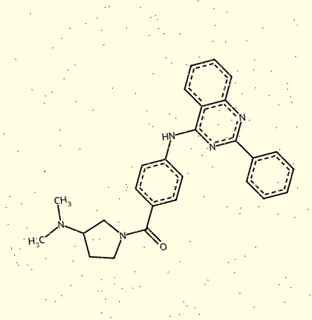 CN(C)C1CCN(C(=O)c2ccc(Nc3nc(-c4ccccc4)nc4ccccc34)cc2)C1